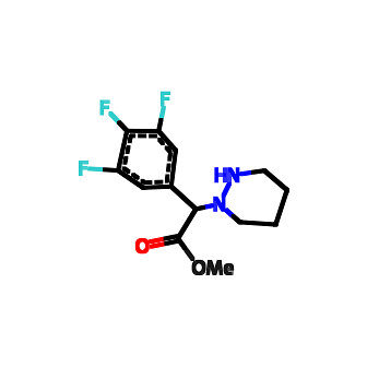 COC(=O)C(c1cc(F)c(F)c(F)c1)N1CCCCN1